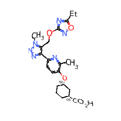 CCc1nc(OCc2c(-c3ccc(O[C@H]4CCC[C@H](C(=O)O)C4)c(C)n3)nnn2C)no1